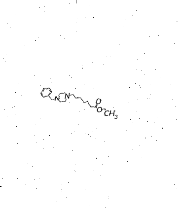 CCOC(=O)CCCCCCN1CCN(Cc2ccccc2)CC1